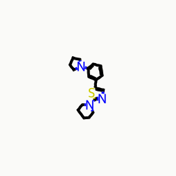 c1cc(-c2cnc(N3CCCCC3)s2)cc(N2CCCC2)c1